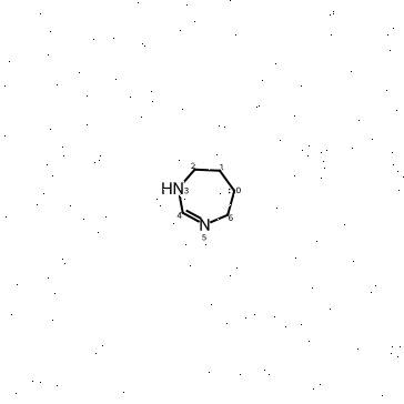 [C]1CCNC=NC1